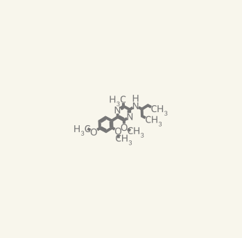 CCC(CC)Nc1nc(OC)c(-c2ccc(OC)cc2OC)nc1C